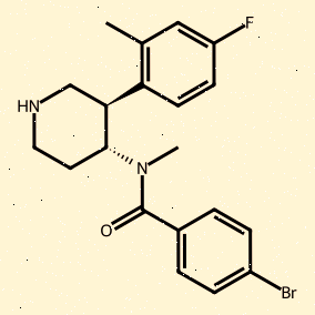 Cc1cc(F)ccc1[C@@H]1CNCC[C@H]1N(C)C(=O)c1ccc(Br)cc1